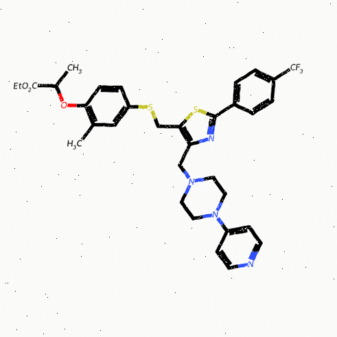 CCOC(=O)C(C)Oc1ccc(SCc2sc(-c3ccc(C(F)(F)F)cc3)nc2CN2CCN(c3ccncc3)CC2)cc1C